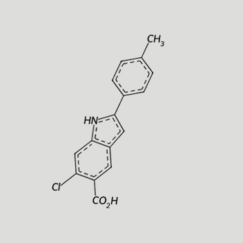 Cc1ccc(-c2cc3cc(C(=O)O)c(Cl)cc3[nH]2)cc1